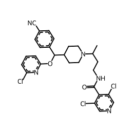 CC(CCNC(=O)c1c(Cl)cncc1Cl)N1CCC(C(Oc2cccc(Cl)n2)c2ccc(C#N)cc2)CC1